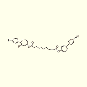 N#Cc1ccc(C2=CCC=C(OC(=O)CCCCCCCCCC(=O)OC3=CC(F)=C(c4ccc(F)cc4)CC=C3)C=C2)cc1